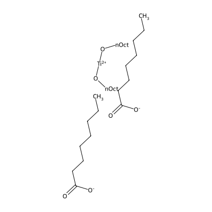 CCCCCCCC(=O)[O-].CCCCCCCC(=O)[O-].CCCCCCCC[O][Ti+2][O]CCCCCCCC